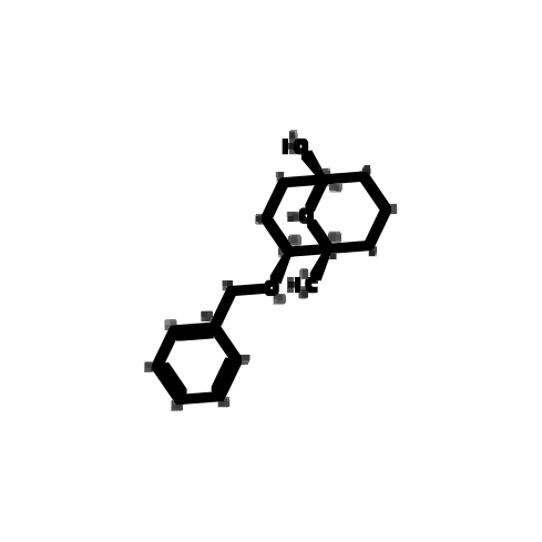 C[C@@]12CCC[C@@](O)(CC[C@@H]1OCc1ccccc1)O2